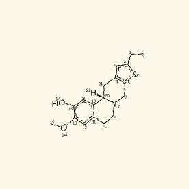 CCc1cc2c(s1)CN1CCc3cc(OC)c(O)cc3[C@@H]1C2